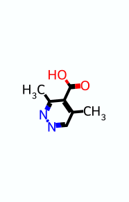 Cc1cnnc(C)c1C(=O)O